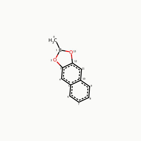 CB1Oc2cc3ccccc3cc2O1